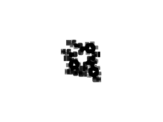 CC(=O)Nc1ccc([As](=O)(O)O)c(O)c1.CCOC(=O)c1cccc(Nc2nc(-c3ccc(O)cc3)c(C)s2)c1